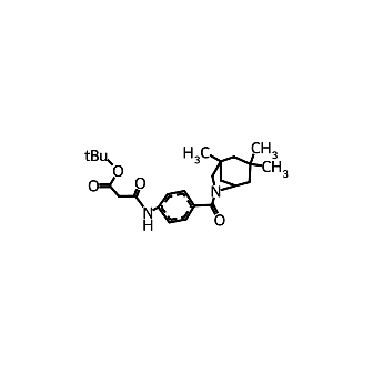 CC1(C)CC2CC(C)(CN2C(=O)c2ccc(NC(=O)CC(=O)OC(C)(C)C)cc2)C1